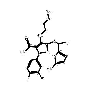 CC(ON1ON(c2ccc(F)c(Br)c2)C(C(=N)N)=C1NCCNS(=O)(=O)O)c1ccc([N+](=O)[O-])o1